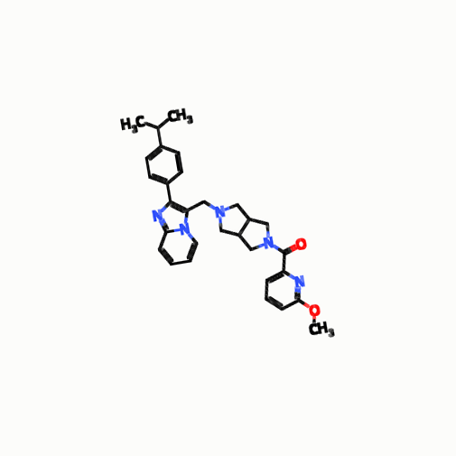 COc1cccc(C(=O)N2CC3CN(Cc4c(-c5ccc(C(C)C)cc5)nc5ccccn45)CC3C2)n1